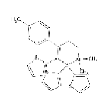 Cc1ccc(C2=C(c3cccs3)[B-](c3cccs3)(c3cccs3)[N+](C)(C)CC2)cc1